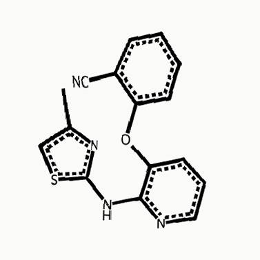 Cc1csc(Nc2ncccc2Oc2ccccc2C#N)n1